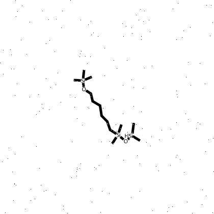 C[SiH](C)O[Si](C)(C)CCCCCCO[Si](C)(C)C